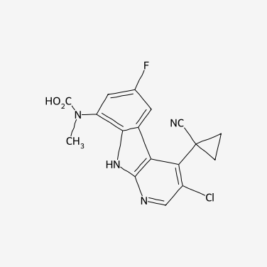 CN(C(=O)O)c1cc(F)cc2c1[nH]c1ncc(Cl)c(C3(C#N)CC3)c12